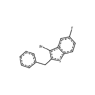 Fc1ccc2sc(Cc3ccccc3)c(Br)c2c1